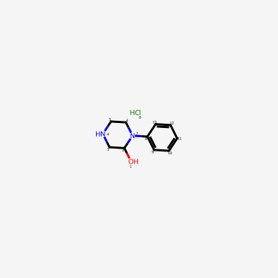 Cl.OC1CNCCN1c1ccccc1